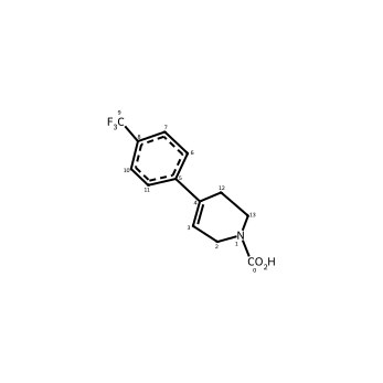 O=C(O)N1CC=C(c2ccc(C(F)(F)F)cc2)CC1